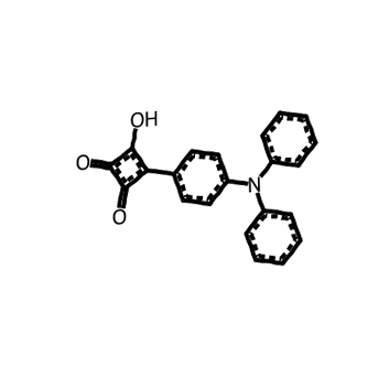 O=c1c(O)c(-c2ccc(N(c3ccccc3)c3ccccc3)cc2)c1=O